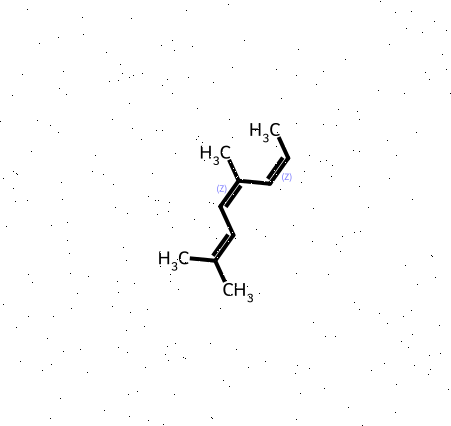 C/C=C\C(C)=C/C=C(C)C